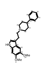 COc1cc2[nH]cc(CCN3CCC(c4ccccc4)CC3)c2cc1OC